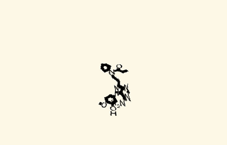 C=CC(=O)N(CCc1nn(-c2ccc(OC)c(O)c2)c2c(N)ncnc12)c1ccccc1